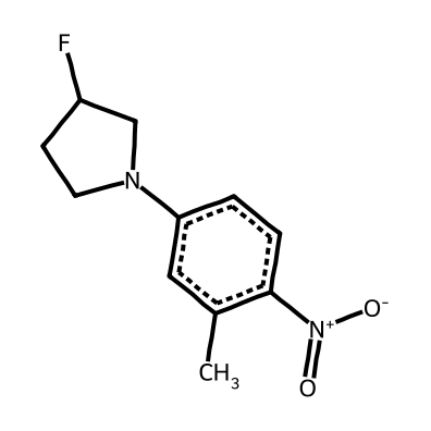 Cc1cc(N2CCC(F)C2)ccc1[N+](=O)[O-]